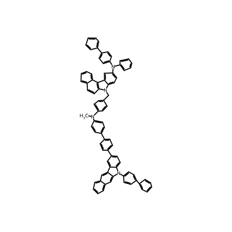 CN(c1ccc(Cn2c3ccc(N(c4ccccc4)c4ccc(-c5ccccc5)cc4)cc3c3c4ccccc4ccc32)cc1)c1ccc(-c2ccc(-c3ccc4c(c3)c3cc5ccccc5cc3n4-c3ccc(-c4ccccc4)cc3)cc2)cc1